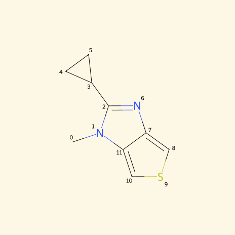 Cn1c(C2CC2)nc2cscc21